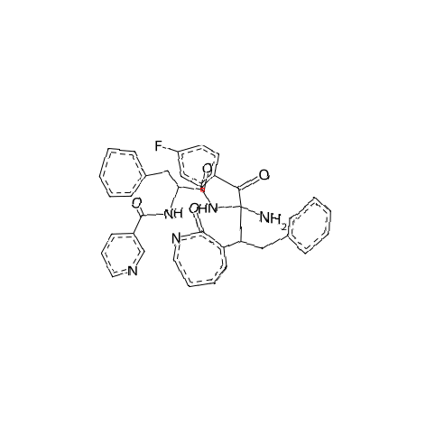 NC(NC(=O)C(Cc1ccccc1)NC(=O)c1cccnc1)(C(=O)c1ccc(F)cc1)C(Cc1ccccc1)c1ccccnc1=O